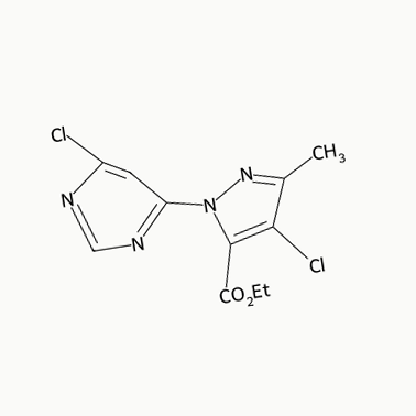 CCOC(=O)c1c(Cl)c(C)nn1-c1cc(Cl)ncn1